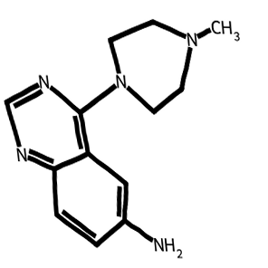 CN1CCN(c2ncnc3ccc(N)cc23)CC1